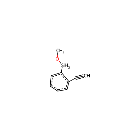 C#Cc1ccccc1[SiH2]OC